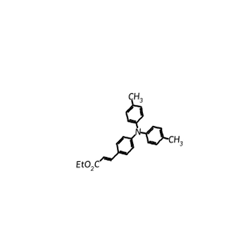 CCOC(=O)C=Cc1ccc(N(c2ccc(C)cc2)c2ccc(C)cc2)cc1